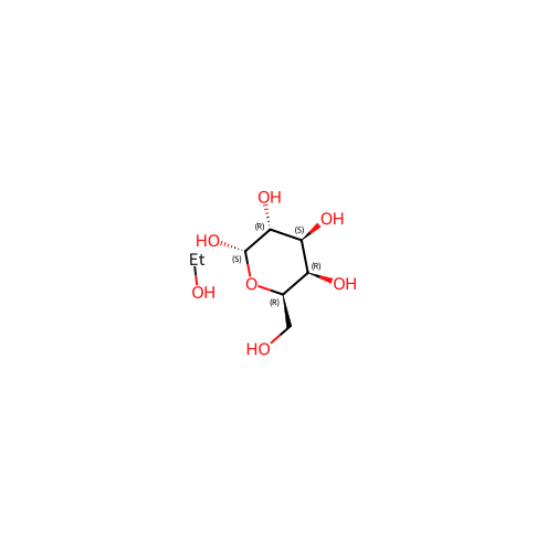 CCO.OC[C@H]1O[C@H](O)[C@H](O)[C@@H](O)[C@H]1O